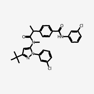 CC(C(=O)N(C)c1cc(C(C)(C)C)nn1-c1cccc(Cl)c1)c1ccc(C(=O)Nc2cccc(Cl)c2)cc1